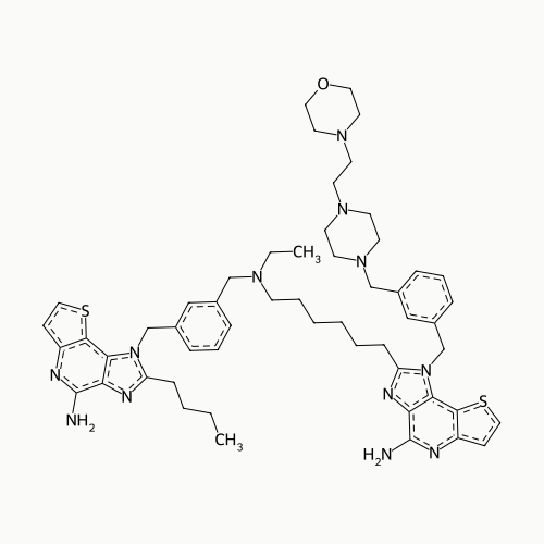 CCCCc1nc2c(N)nc3ccsc3c2n1Cc1cccc(CN(CC)CCCCCCc2nc3c(N)nc4ccsc4c3n2Cc2cccc(CN3CCN(CCN4CCOCC4)CC3)c2)c1